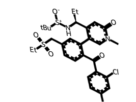 CC[C@H](N[S+]([O-])C(C)(C)C)c1cc(=O)n(C)cc1-c1cc(CS(=O)(=O)CC)ccc1C(=O)c1ccc(F)cc1Cl